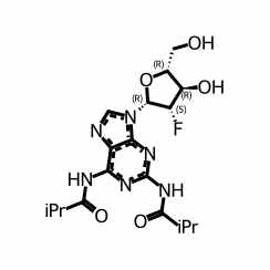 CC(C)C(=O)Nc1nc(NC(=O)C(C)C)c2ncn([C@@H]3O[C@H](CO)[C@@H](O)[C@@H]3F)c2n1